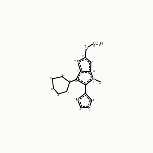 Cn1c(-c2cnco2)c(C2CCCCC2)c2sc(OC(=O)O)cc21